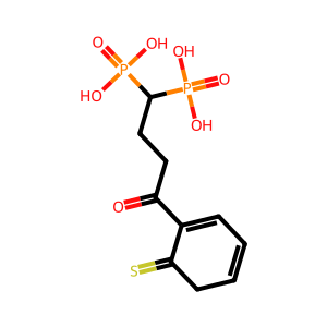 O=C(CCC(P(=O)(O)O)P(=O)(O)O)C1=CC=CCC1=S